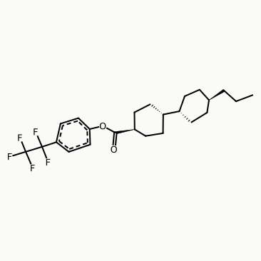 CCC[C@H]1CC[C@H]([C@H]2CC[C@H](C(=O)Oc3ccc(C(F)(F)C(F)(F)F)cc3)CC2)CC1